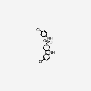 O=S(=O)(Nc1ccc(Cl)cc1)N1CCc2c([nH]c3ccc(Cl)cc23)C1